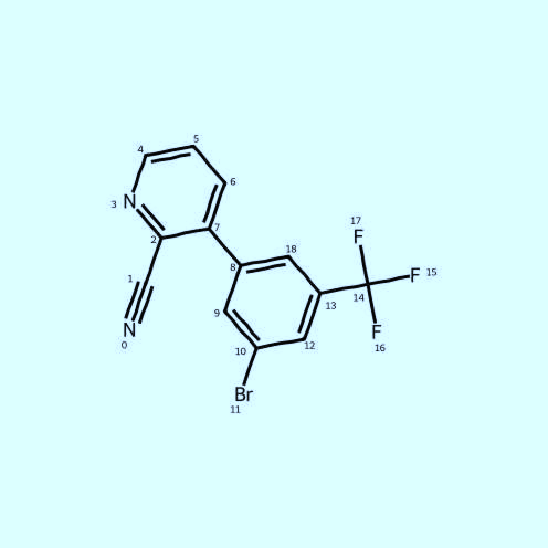 N#Cc1ncccc1-c1cc(Br)cc(C(F)(F)F)c1